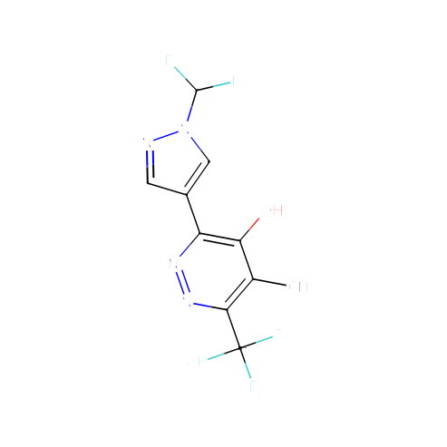 Cc1c(C(F)(F)F)nnc(-c2cnn(C(F)F)c2)c1O